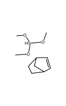 C1=CC2CCC1C2.CO[SiH](OC)OC